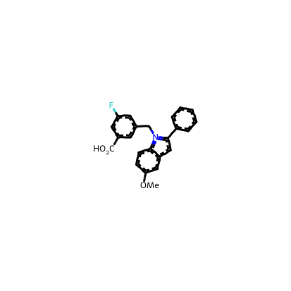 COc1ccc2c(c1)cc(-c1ccccc1)n2Cc1cc(F)cc(C(=O)O)c1